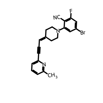 Cc1cccc(C#CC=C2CCN(c3cc(Br)cc(F)c3C#N)CC2)n1